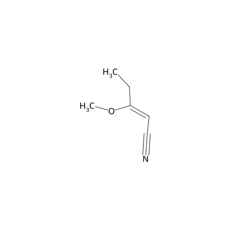 CC/C(=C/C#N)OC